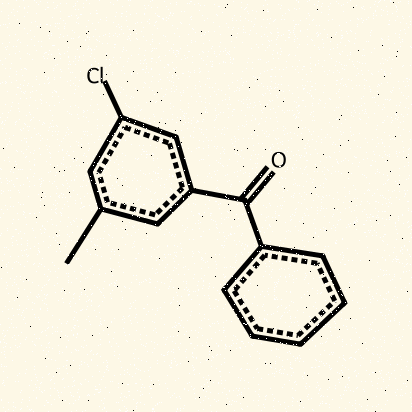 Cc1cc(Cl)cc(C(=O)c2ccccc2)c1